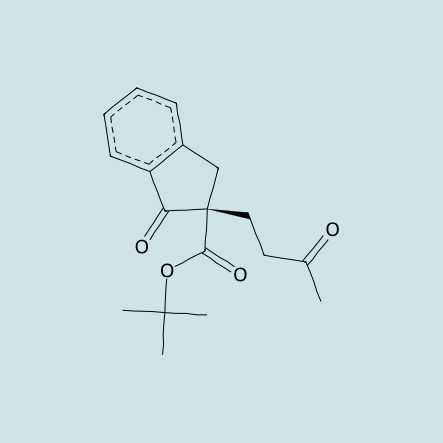 CC(=O)CC[C@]1(C(=O)OC(C)(C)C)Cc2ccccc2C1=O